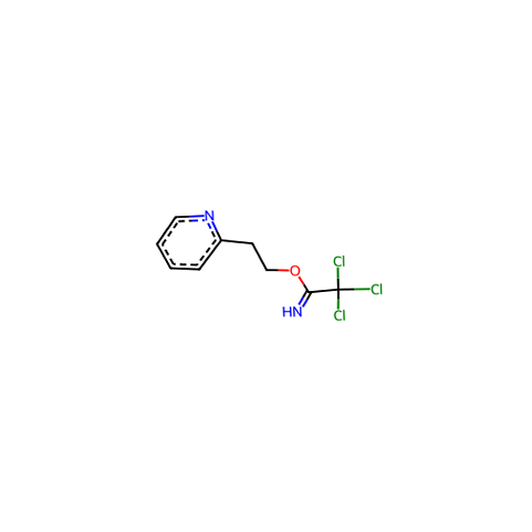 N=C(OCCc1ccccn1)C(Cl)(Cl)Cl